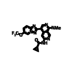 CNc1ncc(-c2nc3ccc(OC(F)(F)F)cn3n2)c2cc(NC(=O)C3CC3)ncc12